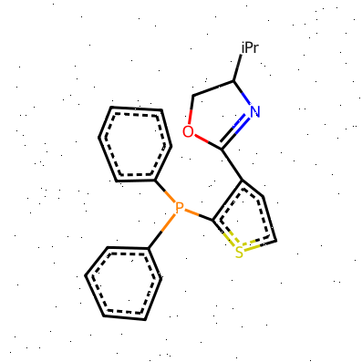 CC(C)C1COC(c2ccsc2P(c2ccccc2)c2ccccc2)=N1